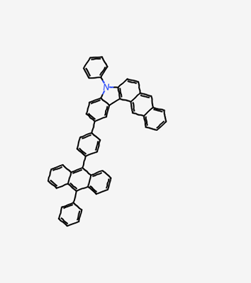 c1ccc(-c2c3ccccc3c(-c3ccc(-c4ccc5c(c4)c4c6cc7ccccc7cc6ccc4n5-c4ccccc4)cc3)c3ccccc23)cc1